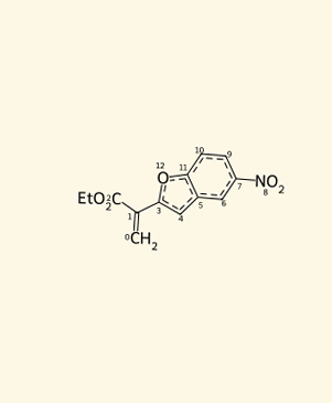 C=C(C(=O)OCC)c1cc2cc([N+](=O)[O-])ccc2o1